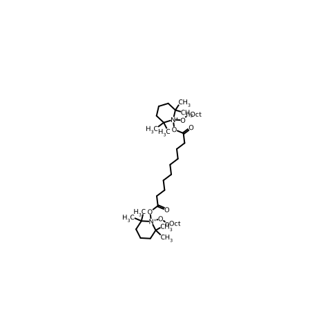 CCCCCCCCO[N+]1(OC(=O)CCCCCCCCC(=O)O[N+]2(OCCCCCCCC)C(C)(C)CCCC2(C)C)C(C)(C)CCCC1(C)C